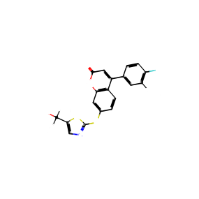 Cc1cc(-c2cc(=O)oc3cc(Sc4ncc(C(O)(C(F)(F)F)C(F)(F)F)s4)ccc23)ccc1F